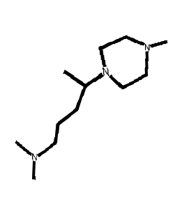 CC(CCCN(C)C)N1CCN(C)CC1